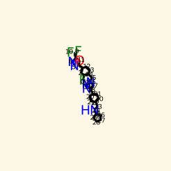 Fc1cc(-c2nnc(C(F)F)o2)ccc1Cn1cc(-c2ccc(CNC3CCCC3)cc2)nn1